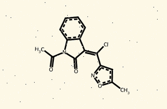 CC(=O)N1C(=O)C(=C(Cl)c2cc(C)on2)c2ccccc21